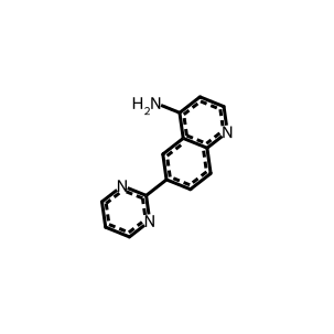 Nc1ccnc2ccc(-c3ncccn3)cc12